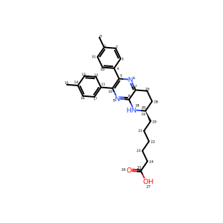 Cc1ccc(-c2nc3c(nc2-c2ccc(C)cc2)N[C@H](CCCCCC(=O)O)CC3)cc1